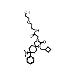 CN(C)C1(c2ccccc2)CCC2(CC1)CN(CC(=O)NCCOCCO)C(=O)N2CC1CCC1